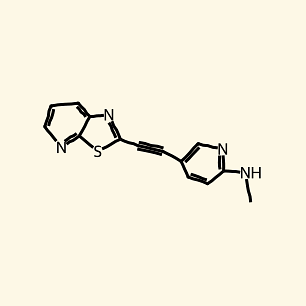 CNc1ccc(C#Cc2nc3cccnc3s2)cn1